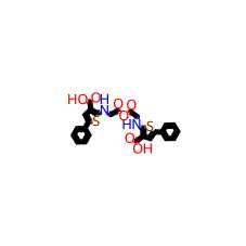 O=C(CNc1sc(-c2ccccc2)cc1C(=O)O)OC(=O)CNc1sc(-c2ccccc2)cc1C(=O)O